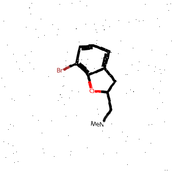 CNCC1Cc2cccc(Br)c2O1